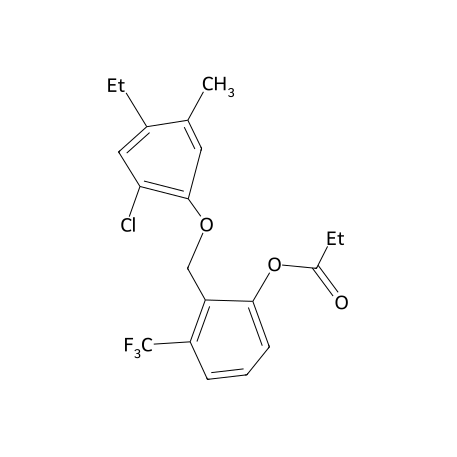 CCC(=O)Oc1cccc(C(F)(F)F)c1COc1cc(C)c(CC)cc1Cl